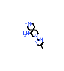 Cc1cnc(N2CCC3(CCNCC3)C(N)C2)nc1